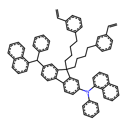 C=Cc1cccc(CCCCC2(CCCCc3cccc(C=C)c3)c3cc(C(c4ccccc4)c4cccc5ccccc45)ccc3-c3ccc(N(c4ccccc4)c4cccc5ccccc45)cc32)c1